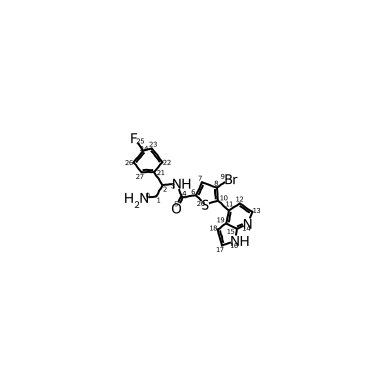 NCC(NC(=O)c1cc(Br)c(-c2ccnc3[nH]ccc23)s1)c1ccc(F)cc1